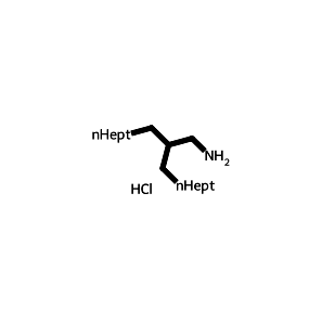 CCCCCCCCC(CN)CCCCCCCC.Cl